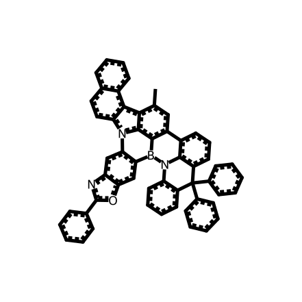 Cc1cc2c3c4c1c1c5ccccc5ccc1n4-c1cc4nc(-c5ccccc5)oc4cc1B3N1c3ccccc3C(c3ccccc3)(c3ccccc3)c3cccc-2c31